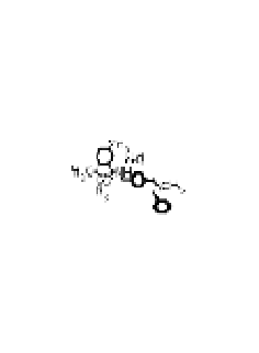 CC(C)[C@@H]1CC[C@@H](C)C[C@H]1C(=O)NCc1ccc(CN(C)Cc2ccccc2)cc1.Cl